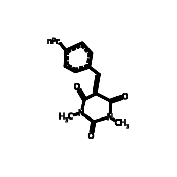 CCCc1ccc(C=C2C(=O)N(C)C(=O)N(C)C2=O)cc1